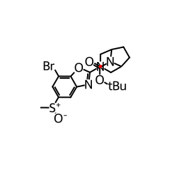 C[S+]([O-])c1cc(Br)c2oc(N3CC4CCC(C3)N4C(=O)OC(C)(C)C)nc2c1